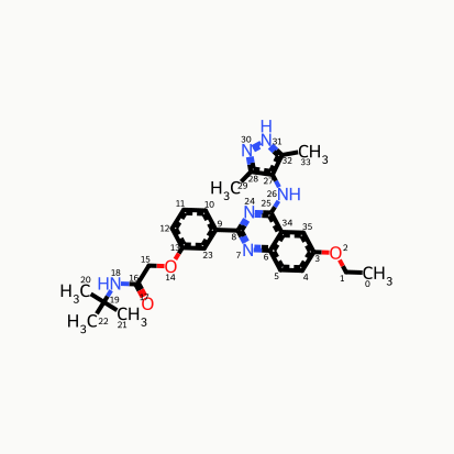 CCOc1ccc2nc(-c3cccc(OCC(=O)NC(C)(C)C)c3)nc(Nc3c(C)n[nH]c3C)c2c1